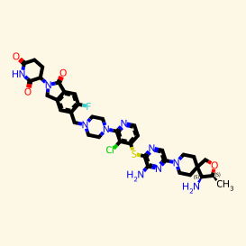 C[C@@H]1OCC2(CCN(c3cnc(Sc4ccnc(N5CCN(Cc6cc7c(cc6F)C(=O)N(C6CCC(=O)NC6=O)C7)CC5)c4Cl)c(N)n3)CC2)[C@@H]1N